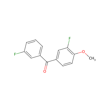 COc1ccc(C(=O)c2cccc(F)c2)cc1F